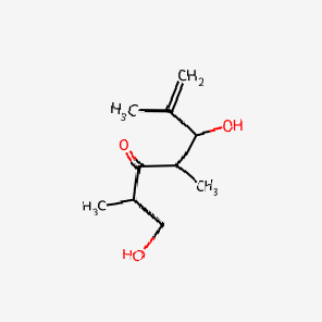 C=C(C)C(O)C(C)C(=O)C(C)CO